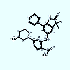 CC1(C)C(=O)Nc2c(-c3ccccc3)cc(Nc3nc(N4CCCC(N)C4)ncc3C(N)=O)cc21